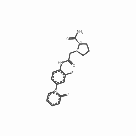 NC(=O)[C@H]1[CH]CCN1CC(=O)Nc1ccc(-n2ccccc2=O)cc1F